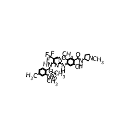 COc1cc(C(=O)N[C@H]2CCN(C)C2)c(Cl)cc1Nc1ncc(C(F)(F)F)c(NCc2ccc(C)cc2N(C)S(C)(=O)=O)n1